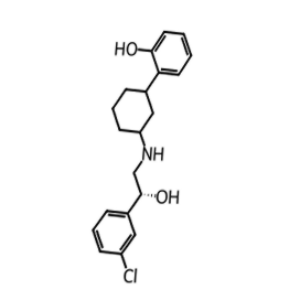 Oc1ccccc1C1CCCC(NC[C@H](O)c2cccc(Cl)c2)C1